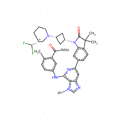 CNC(=O)c1cc(Nc2nc(-c3ccc4c(c3)N([C@H]3C[C@@H](N5CCC[C@@H](C(F)F)C5)C3)C(=O)C4(C)C)cc3ncn(C(C)C)c23)ccc1C